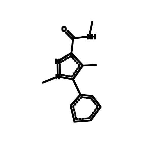 CNC(=O)c1nn(C)c(-c2ccccc2)c1C